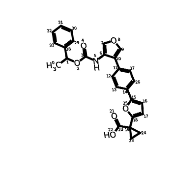 CC(OC(=O)Nc1cocc1-c1ccc(-c2ccc(C3(C(=O)O)CC3)o2)cc1)c1ccccc1